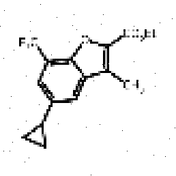 CCOC(=O)c1oc2c(C(F)(F)F)cc(C3CC3)cc2c1C